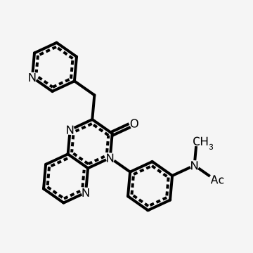 CC(=O)N(C)c1cccc(-n2c(=O)c(Cc3cccnc3)nc3cccnc32)c1